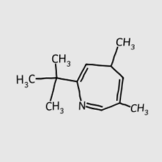 CC1=CC(C)C=C(C(C)(C)C)N=C1